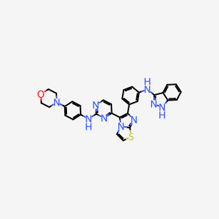 c1cc(Nc2n[nH]c3ccccc23)cc(-c2nc3sccn3c2-c2ccnc(Nc3ccc(N4CCOCC4)cc3)n2)c1